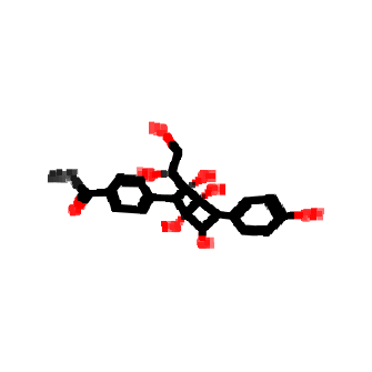 CNC(=O)c1ccc(C2[C@]3(O)C(O)C(c4ccc(O)cc4)[C@]3(O)[C@]2(O)[C@H](O)CO)cc1